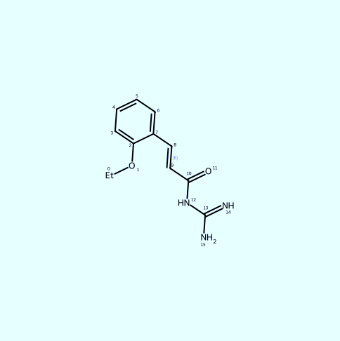 CCOc1ccccc1/C=C/C(=O)NC(=N)N